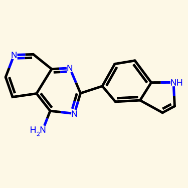 Nc1nc(-c2ccc3[nH]ccc3c2)nc2cnccc12